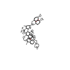 COc1ccc(CN(Cc2ccc(OC)cc2)c2cc(C)c(C(F)(F)F)c(-c3c(Cl)c4c5c(nc(OCCN6CCN(C)CC6)nc5c3F)N([C@H](C)c3cccnc3NC(=O)OC(C)(C)C)CCO4)n2)cc1